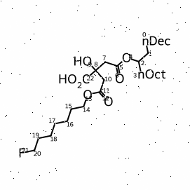 CCCCCCCCCCCC(CCCCCCCC)OC(=O)CC(O)(CC(=O)OCCCCCCCF)C(=O)O